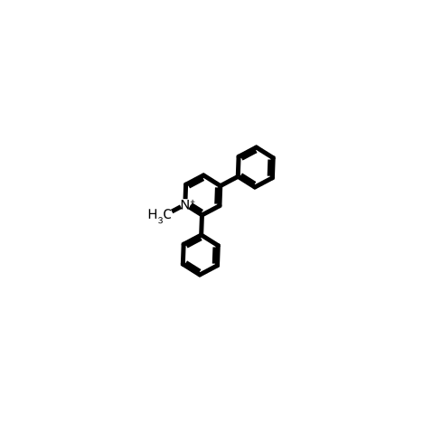 C[n+]1ccc(-c2ccccc2)cc1-c1ccccc1